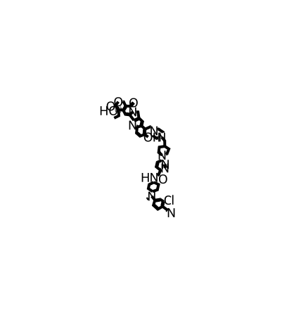 CC[C@@]1(O)C(=O)OCc2c1cc1n(c2=O)Cc2cc3c(CN4CCN(CC5CCN(c6ccc(C(=O)NC7CCC(N(C)c8ccc(C#N)c(Cl)c8)CC7)nn6)CC5)CC4)c(O)ccc3nc2-1